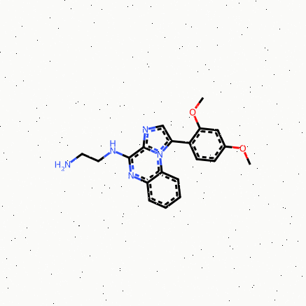 COc1ccc(-c2cnc3c(NCCN)nc4ccccc4n23)c(OC)c1